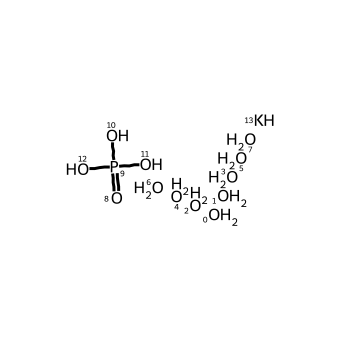 O.O.O.O.O.O.O.O.O=P(O)(O)O.[KH]